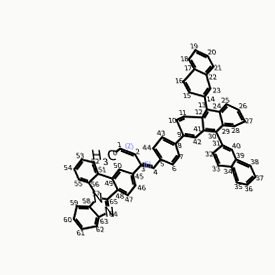 C/C=C\C(=C/c1ccc(-c2ccc3c(-c4ccc5ccccc5c4)c4ccccc4c(-c4ccc5ccccc5c4)c3c2)cc1)c1ccc2c(c1)c1ccccc1n1c3ccccc3nc21